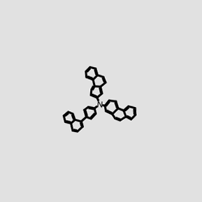 c1ccc2c(-c3ccc(N(c4ccc5c(ccc6ccccc65)c4)c4ccc5c(ccc6ccccc65)c4)cc3)cccc2c1